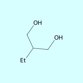 [CH2]CC(CO)CO